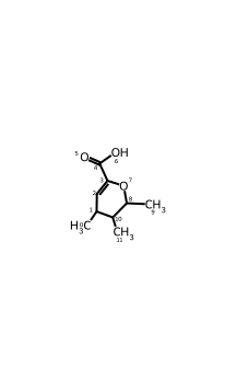 CC1C=C(C(=O)O)OC(C)C1C